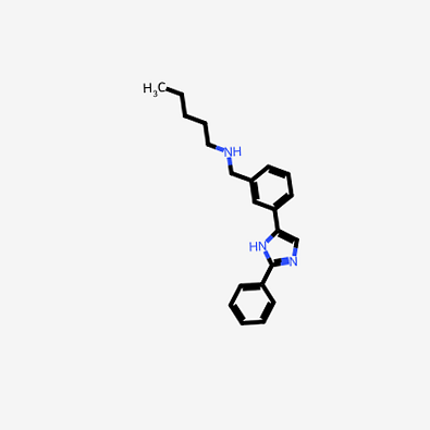 CCCCCNCc1cccc(-c2cnc(-c3ccccc3)[nH]2)c1